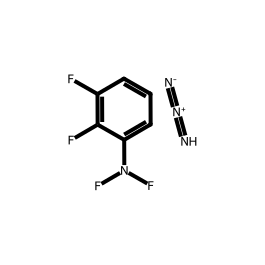 Fc1cccc(N(F)F)c1F.[N-]=[N+]=N